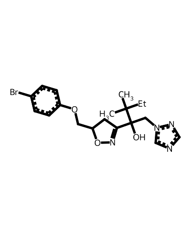 CCC(C)(C)C(O)(Cn1cncn1)C1=NOC(COc2ccc(Br)cc2)C1